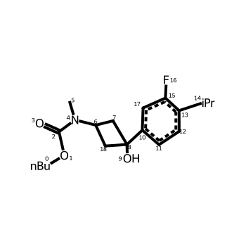 CCCCOC(=O)N(C)C1CC(O)(c2ccc(C(C)C)c(F)c2)C1